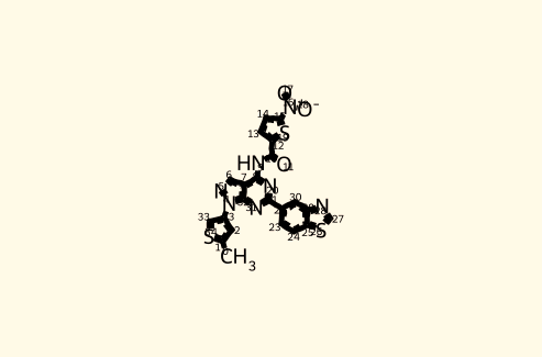 Cc1cc(-n2ncc3c(NC(=O)c4ccc([N+](=O)[O-])s4)nc(-c4ccc5scnc5c4)nc32)cs1